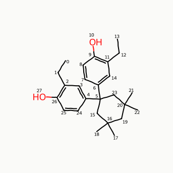 CCc1cc(C2(c3ccc(O)c(CC)c3)CC(C)(C)CC(C)(C)C2)ccc1O